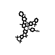 Cc1cc(-c2cc3c(cc2Nc2ccc(C(C)(C)C)cc2)C(C)(C)c2cc4c(cc2-3)C(C)(C)CCC4(C)C)c2c3c1c1cc4c(cc1n3-c1cc3c(cc1B2)C(C)(C)c1ccccc1-3)oc1ccccc14